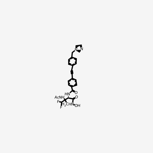 CC(=O)NC(C)(C(F)F)[C@H](NC(=O)c1ccc(C#Cc2ccc(Cn3ccnc3)cc2)cc1)C(=O)NO